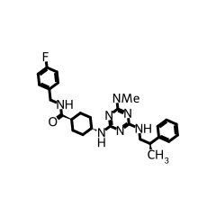 CNc1nc(NC[C@H](C)c2ccccc2)nc(N[C@H]2CC[C@H](C(=O)NCc3ccc(F)cc3)CC2)n1